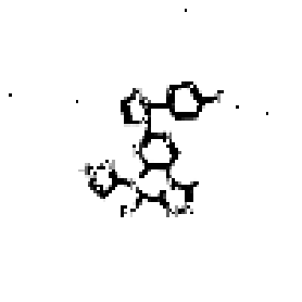 CCC1c2nnc(C)n2-c2cnc(-n3ccnc3-c3ccc(F)cc3)nc2N1c1cc[nH]n1